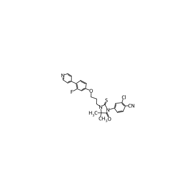 CC1(C)C(=O)N(c2ccc(C#N)c(Cl)c2)C(=S)N1CCCOc1ccc(-c2ccncc2)c(F)c1